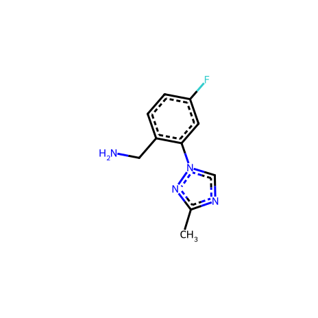 Cc1ncn(-c2cc(F)ccc2CN)n1